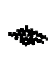 C=CC(=O)Nc1cccc(Nc2nc(Nc3cnn(CCOC)c3)ncc2[S+](C)[O-])c1